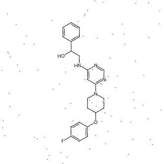 OC(CNc1cc(N2CCC(Oc3ccc(F)cc3)CC2)ncn1)c1ccccc1